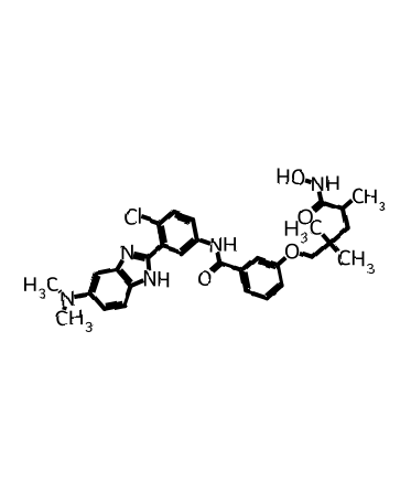 CC(CC(C)(C)COc1cccc(C(=O)Nc2ccc(Cl)c(-c3nc4cc(N(C)C)ccc4[nH]3)c2)c1)C(=O)NO